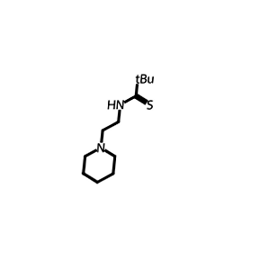 CC(C)(C)C(=S)NCCN1CCCCC1